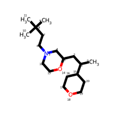 CC(CC1CN(CCC(C)(C)C)CCO1)C1CCOCC1